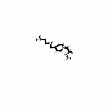 CNCCOCC1CCN(CC(C)SS)CC1